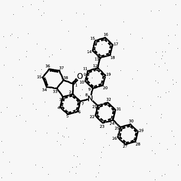 O=C1c2c(cccc2N(c2ccc(-c3ccccc3)cc2)c2ccc(-c3ccccc3)cc2)C2C=CC=CC12